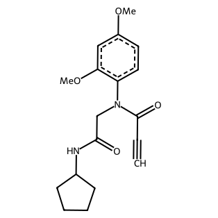 C#CC(=O)N(CC(=O)NC1CCCC1)c1ccc(OC)cc1OC